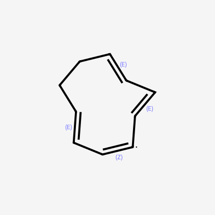 [C]1=C\C=C\CC/C=C/C=C/1